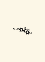 COc1ccc(-c2cc3ccc(Cl)cc3[nH]c2=O)cc1